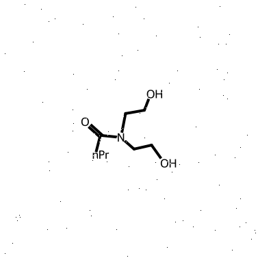 CCCC(=O)N(CCO)CCO